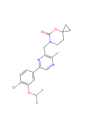 Cc1ncc(-c2ccc(Cl)c(OC(F)F)c2)nc1CN1CCC2(CC2)OC1=O